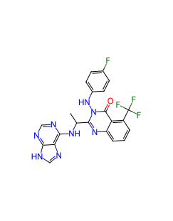 CC(Nc1ncnc2[nH]cnc12)c1nc2cccc(C(F)(F)F)c2c(=O)n1Nc1ccc(F)cc1